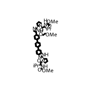 COCCOc1cc(-c2ccc(-c3ccc4nc([C@@H]5CCCN5C(=O)[C@@H](NC(=O)OC)C(C)C)[nH]c4c3)cc2)ccc1-c1cnc([C@@H]2CCCN2C(=O)[C@@H](NC(=O)OC)C(C)C)[nH]1